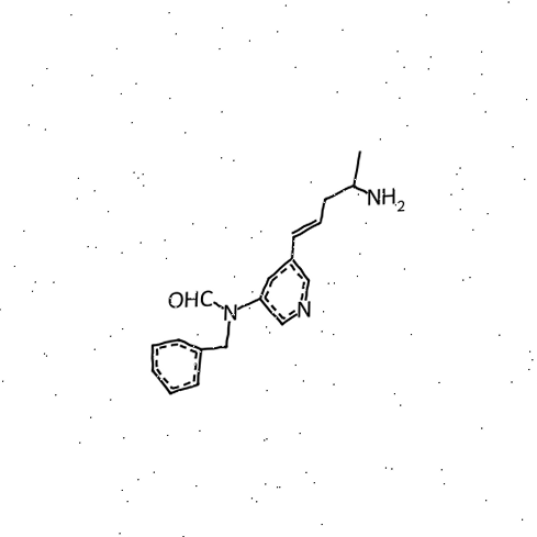 CC(N)CC=Cc1cncc(N(C=O)Cc2ccccc2)c1